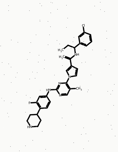 C=C(NC(CC)c1cccc(Cl)c1)c1ccn(-c2nc(Nc3ccc(C4CCNCC4)c(F)c3)ncc2C)c1